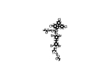 C=CC(=O)OCCOCC(CC)COc1c(Br)cc(C(C)(C)c2cc(Br)c(OCC(COCCOC(=O)C=C)OC(=O)CC(c3ccc(Cl)cc3)(c3ccc(Cl)cc3)c3ccc(Cl)cc3)c(Br)c2)cc1Br